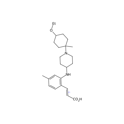 CCOC1CCC(C)(N2CCC(Nc3cc(C)ccc3/C=C/C(=O)O)CC2)CC1